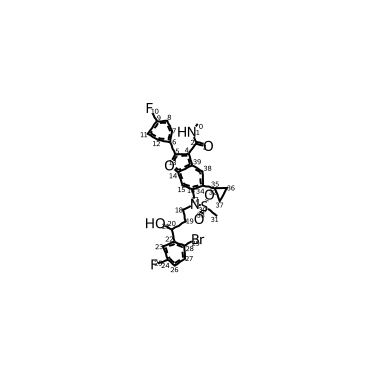 CNC(=O)c1c(-c2ccc(F)cc2)oc2cc(N(CCC(O)c3cc(F)ccc3Br)S(C)(=O)=O)c(C3CC3)cc12